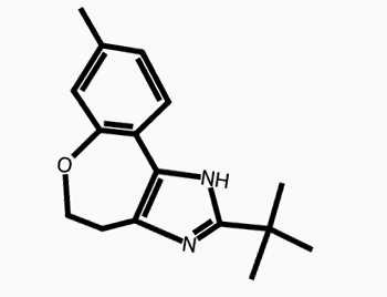 Cc1ccc2c(c1)OCCc1nc(C(C)(C)C)[nH]c1-2